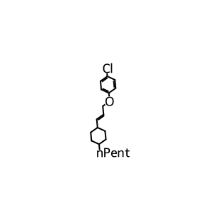 CCCCCC1CCC(C=CCOc2ccc(Cl)cc2)CC1